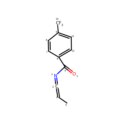 CC=C=NC(=O)c1ccc(C(F)(F)F)cc1